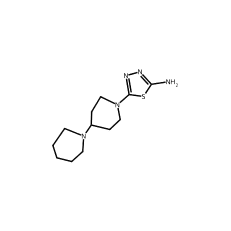 Nc1nnc(N2CCC(N3CCCCC3)CC2)s1